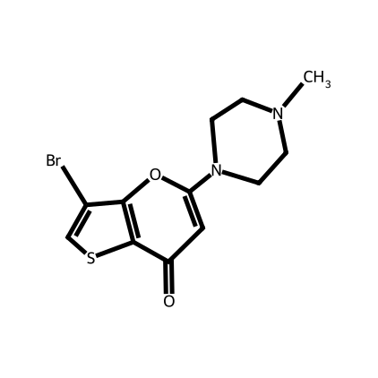 CN1CCN(c2cc(=O)c3scc(Br)c3o2)CC1